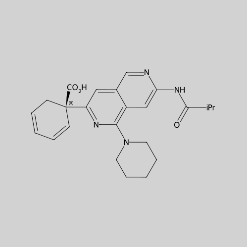 CC(C)C(=O)Nc1cc2c(N3CCCCC3)nc([C@]3(C(=O)O)C=CC=CC3)cc2cn1